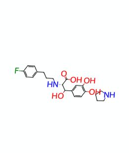 C1CCNC1.O=C(O)[C@@H](NCCCc1ccc(F)cc1)C(O)c1ccc(O)c(O)c1